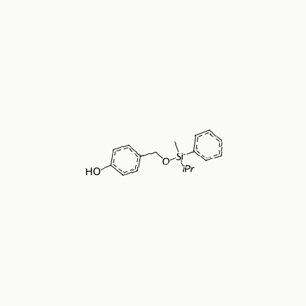 CC(C)[Si](C)(OCc1ccc(O)cc1)c1ccccc1